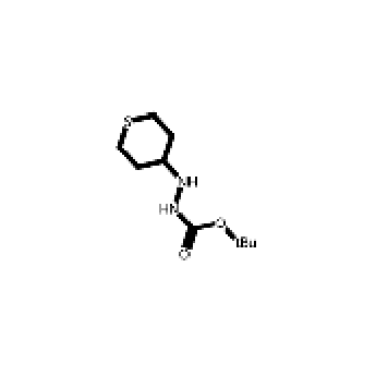 CC(C)(C)OC(=O)NNC1CCSCC1